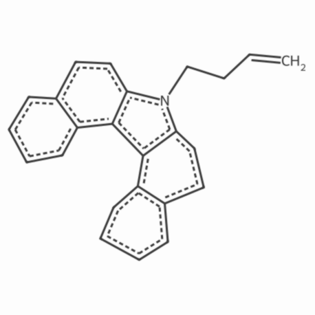 C=CCCn1c2ccc3ccccc3c2c2c3ccccc3ccc21